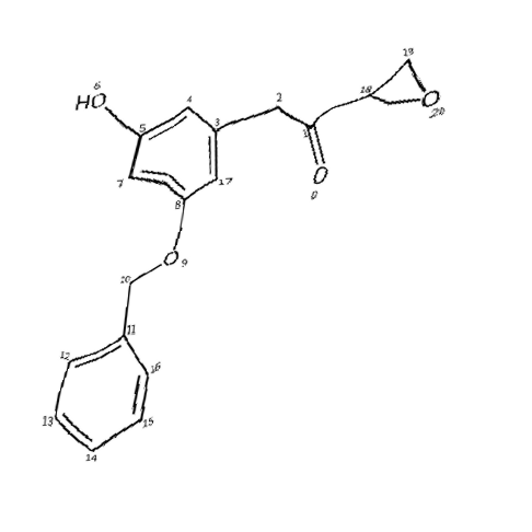 O=C(Cc1cc(O)cc(OCc2ccccc2)c1)C1CO1